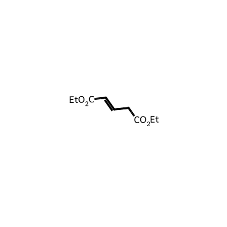 CCOC(=O)C=CCC(=O)OCC